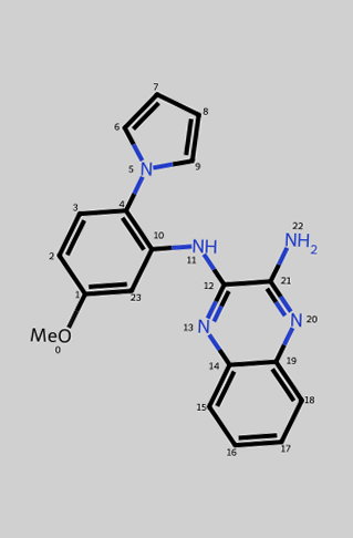 COc1ccc(-n2cccc2)c(Nc2nc3ccccc3nc2N)c1